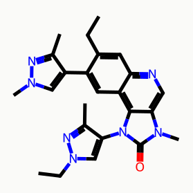 CCc1cc2ncc3c(c2cc1-c1cn(C)nc1C)n(-c1cn(CC)nc1C)c(=O)n3C